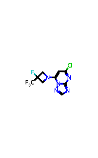 FC(F)(F)C1(F)CN(c2cc(Cl)nc3ncnn23)C1